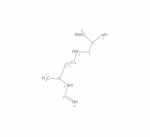 CCCC(CN/C=C/C(C)NC=N)OC